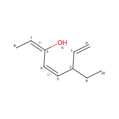 C=CC(/C=C\C(O)=C/C)CC